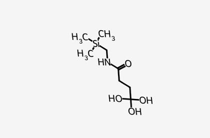 C[Si](C)(C)CNC(=O)CCC(O)(O)O